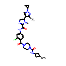 CNC1CC(NC(=O)N2CCN(C(=O)c3ccc(NC(=O)c4ncc(-c5cn(C6CC6)nc5C(F)(F)F)n4C)cc3Cl)CC2)C1